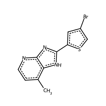 Cc1ccnc2nc(-c3cc(Br)cs3)[nH]c12